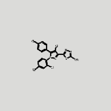 CC(C)(C)c1nnc(-c2nn(-c3ccc(Cl)cc3Cl)c(-c3ccc(Cl)cc3)c2Cl)s1